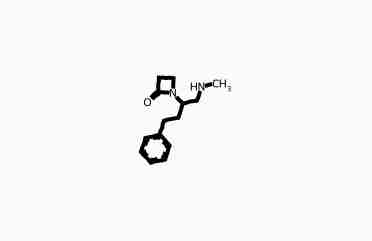 CNCC(CCc1ccccc1)N1CCC1=O